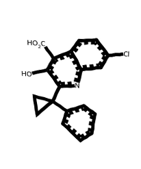 O=C(O)c1c(O)c(C2(c3ccccc3)CC2)nc2cc(Cl)ccc12